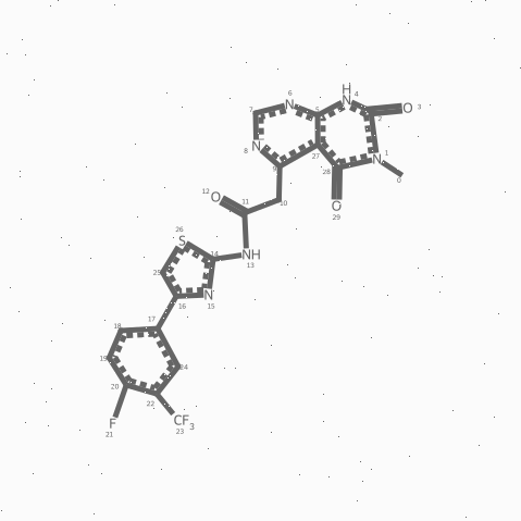 Cn1c(=O)[nH]c2ncnc(CC(=O)Nc3nc(-c4ccc(F)c(C(F)(F)F)c4)cs3)c2c1=O